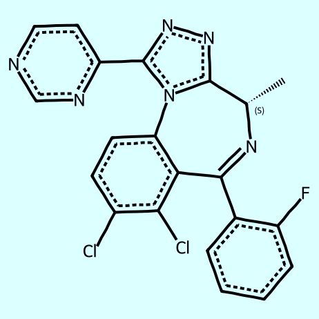 C[C@@H]1N=C(c2ccccc2F)c2c(ccc(Cl)c2Cl)-n2c(-c3ccncn3)nnc21